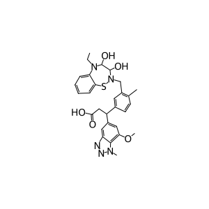 CCN1c2ccccc2SN(Cc2cc(C(CC(=O)O)c3cc(OC)c4c(c3)nnn4C)ccc2C)C(O)C1O